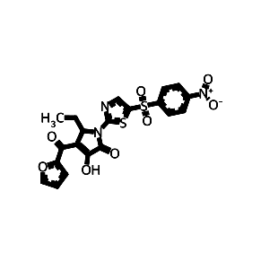 CCC1C(C(=O)c2ccco2)=C(O)C(=O)N1c1ncc(S(=O)(=O)c2ccc([N+](=O)[O-])cc2)s1